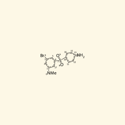 CNc1cc(Br)cc(S(=O)(=O)c2ccc(N)cc2)c1